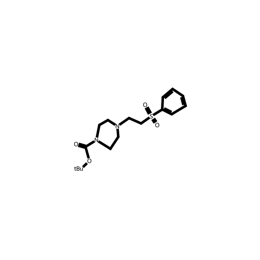 CC(C)(C)OC(=O)N1CCN(CCS(=O)(=O)c2ccccc2)CC1